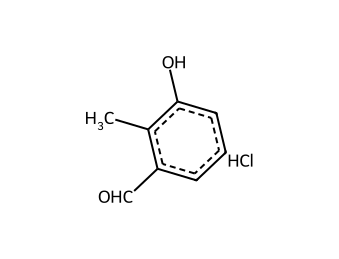 Cc1c(O)cccc1C=O.Cl